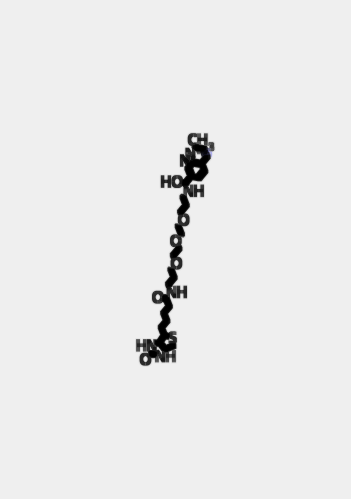 CC(/C=C\c1ccc(C(O)NCCCOCCOCCOCCCNC(=O)CCCCC2SCC3NC(=O)NC32)cc1)=[N+]=[N-]